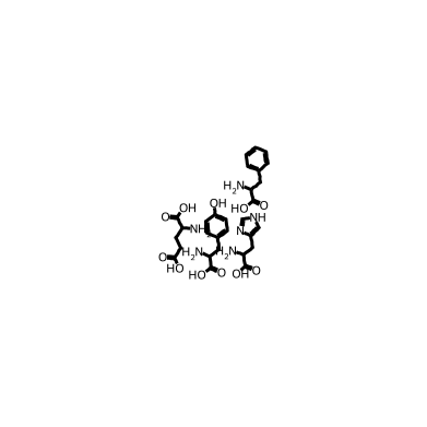 NC(CCC(=O)O)C(=O)O.NC(Cc1c[nH]cn1)C(=O)O.NC(Cc1ccc(O)cc1)C(=O)O.NC(Cc1ccccc1)C(=O)O